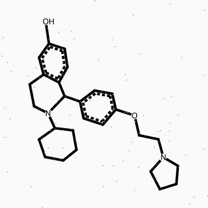 Oc1ccc2c(c1)CCN(C1CCCCC1)C2c1ccc(OCCN2CCCC2)cc1